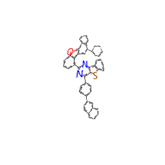 C1=CCCC(c2cc3c(oc4cccc(-c5nc(-c6ccc(-c7ccc8ccccc8c7)cc6)c6sc7ccccc7c6n5)c43)c3ccccc23)=C1